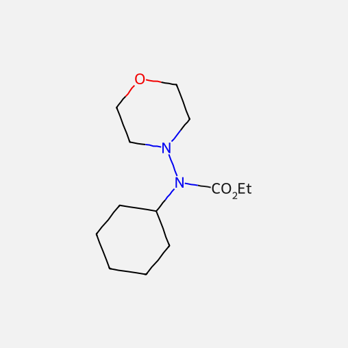 CCOC(=O)N(C1CCCCC1)N1CCOCC1